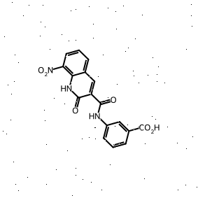 O=C(O)c1cccc(NC(=O)c2cc3cccc([N+](=O)[O-])c3[nH]c2=O)c1